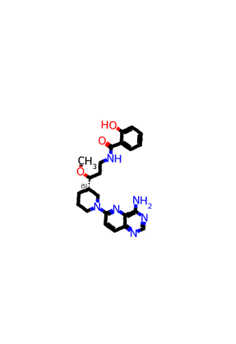 COC(CCNC(=O)c1ccccc1O)[C@H]1CCCN(c2ccc3ncnc(N)c3n2)C1